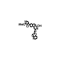 COc1nccc(-c2ccc3c(c2)CCN2C3=CC(OCC3COc4ncccc4O3)=NC2O)c1Cl